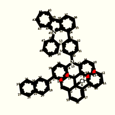 CC12C(=CC=CC1c1ccccc1N(c1ccc(-c3ccc4ccccc4c3)cc1)c1ccc(-c3cccc4c5ccccc5n(-c5ccccc5)c34)cc1)C=CC=C2c1ccccc1